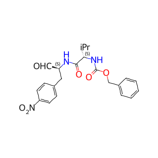 CC(C)[C@H](NC(=O)OCc1ccccc1)C(=O)N[C@H](C=O)Cc1ccc([N+](=O)[O-])cc1